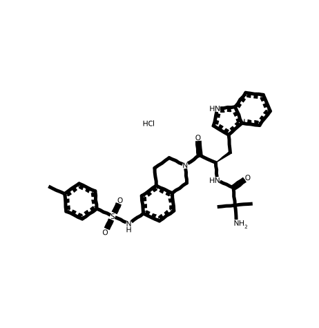 Cc1ccc(S(=O)(=O)Nc2ccc3c(c2)CCN(C(=O)[C@@H](Cc2c[nH]c4ccccc24)NC(=O)C(C)(C)N)C3)cc1.Cl